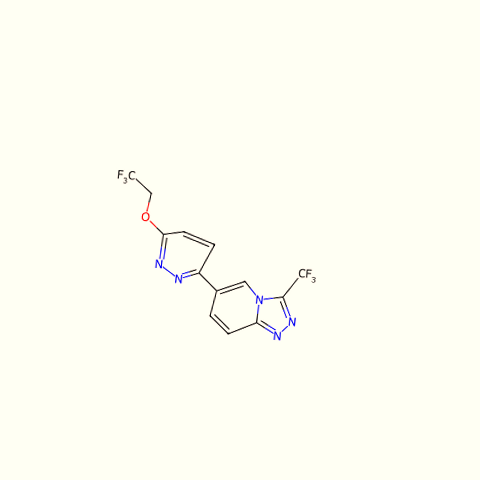 FC(F)(F)COc1ccc(-c2ccc3nnc(C(F)(F)F)n3c2)nn1